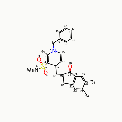 CNS(=O)(=O)C1=C(C)N(Cc2ccccc2)C=CC1CC1Cc2cc(C)c(C)cc2C1=O